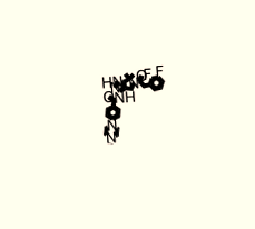 CN1CCN(c2ccc(C(=O)Nc3n[nH]c4c3CN(C(=O)Cc3cccc(F)c3F)C4(C)C)cc2)CC1